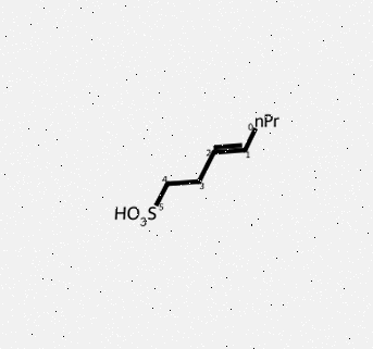 CCCC=CCCS(=O)(=O)O